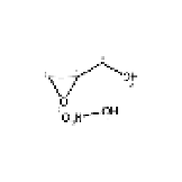 O=[N+]([O-])O.OCC1CO1